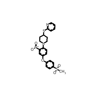 CS(=O)(=O)c1ccc(Oc2ccc(N3CCC(Sc4ccccn4)CC3)c([N+](=O)[O-])c2)cc1